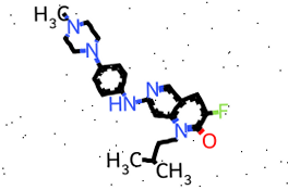 CC(C)CCn1c(=O)c(F)cc2cnc(Nc3ccc(N4CCN(C)CC4)cc3)cc21